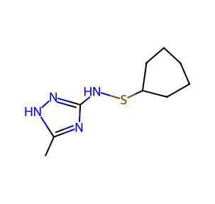 Cc1nc(NSC2CCCCC2)n[nH]1